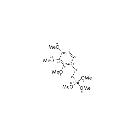 COc1ccc(CC[Si](OC)(OC)OC)c(OC)c1OC